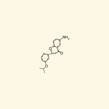 CC(C)Oc1cccc(-c2cc(=O)c3cc(N)ccc3o2)c1